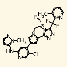 Cc1cccnc1C(F)(F)c1nnc2n1[C@@H](CF)Cn1cc(-c3cc(Nc4ccnn4C)ncc3Cl)cc1-2